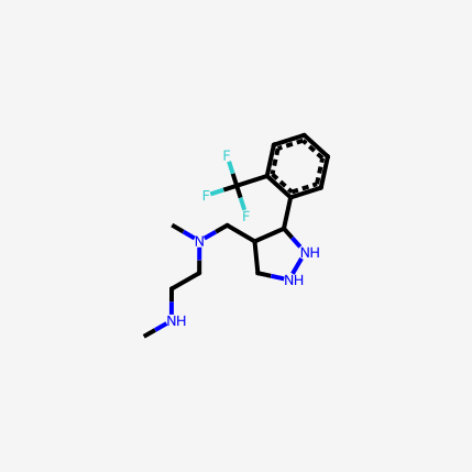 CNCCN(C)CC1CNNC1c1ccccc1C(F)(F)F